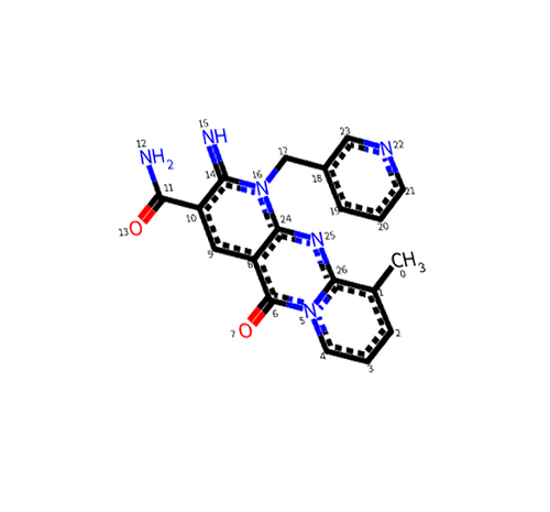 Cc1cccn2c(=O)c3cc(C(N)=O)c(=N)n(Cc4cccnc4)c3nc12